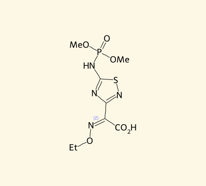 CCO/N=C(\C(=O)O)c1nsc(NP(=O)(OC)OC)n1